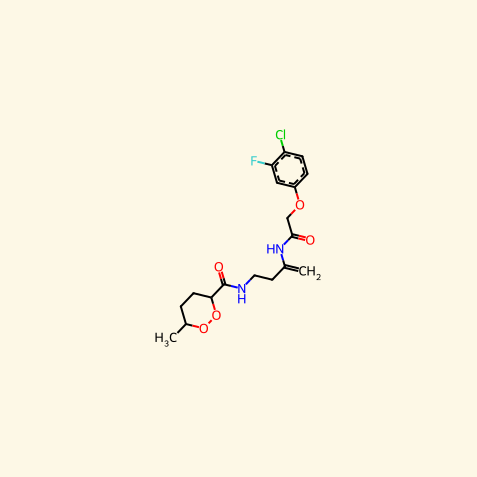 C=C(CCNC(=O)C1CCC(C)OO1)NC(=O)COc1ccc(Cl)c(F)c1